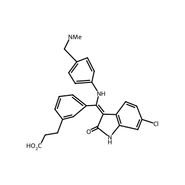 CNCc1ccc(NC(=C2C(=O)Nc3cc(Cl)ccc32)c2cccc(CCC(=O)O)c2)cc1